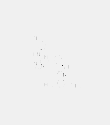 COc1ccc(C)cc1NC(=O)Nc1cccc(-c2cn3ccnc3c(Nc3cccc(Cl)c3)n2)c1